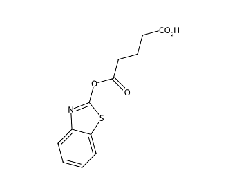 O=C(O)CCCC(=O)Oc1nc2ccccc2s1